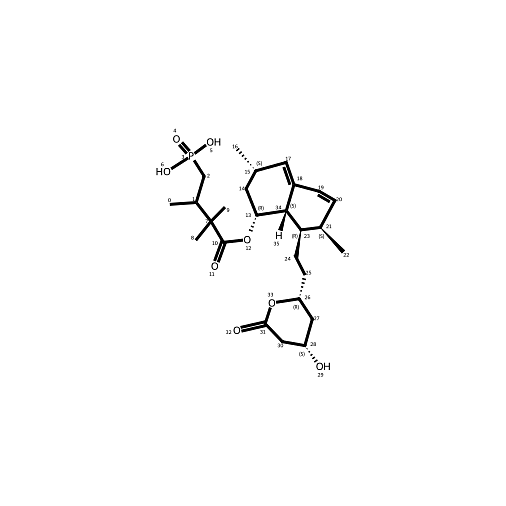 CC(CP(=O)(O)O)C(C)(C)C(=O)O[C@@H]1C[C@H](C)C=C2C=C[C@@H](C)[C@@H](CC[C@@H]3C[C@H](O)CC(=O)O3)[C@@H]21